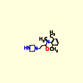 Cc1cccc(C)c1N(C)C(=O)CCN1CCNCC1